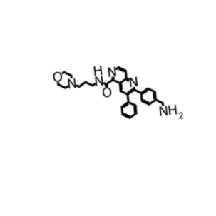 NCc1ccc(-c2nc3ccnc(C(=O)NCCCN4CCOCC4)c3cc2-c2ccccc2)cc1